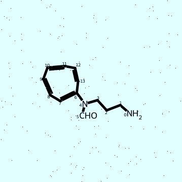 NCCCN(C=O)C1=CC=CC=CC=C1